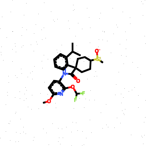 COc1ccc(NC(=O)C2(c3ccccc3C(C)C)CCC([S+](C)[O-])CC2)c(OC(F)F)n1